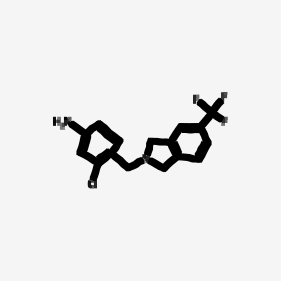 Nc1ccc(CN2Cc3ccc(C(F)(F)F)cc3C2)c(Cl)c1